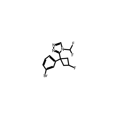 FC1CC(c2cccc(Br)c2)(c2nncn2C(F)F)C1